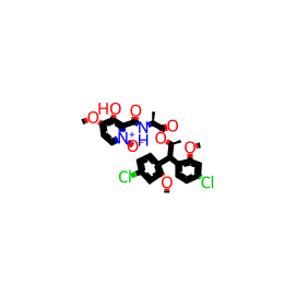 COc1cc(Cl)ccc1C(c1ccc(Cl)cc1OC)[C@H](C)OC(=O)[C@H](C)NC(=O)c1c(O)c(OC)cc[n+]1[O-]